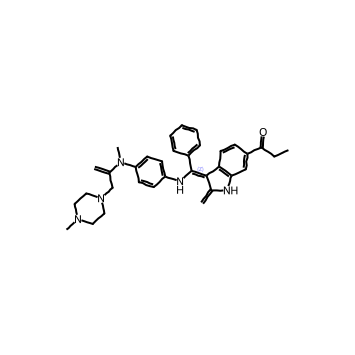 C=C(CN1CCN(C)CC1)N(C)c1ccc(N/C(c2ccccc2)=c2\c(=C)[nH]c3cc(C(=O)CC)ccc23)cc1